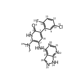 CN(C)c1[nH]c(=O)c(-c2cc(Cl)ccc2F)cc1Nc1ncnc2[nH]ncc12